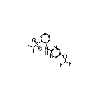 CC(C)S(=O)(=O)c1ccccc1Nc1ncc(OC(F)F)cn1